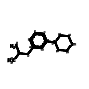 CC(N)Cc1cccc(N2CCSCC2)c1